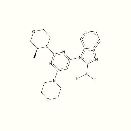 C[C@H]1COCCN1c1nc(N2CCOCC2)cc(-n2c(C(F)F)nc3ccccc32)n1